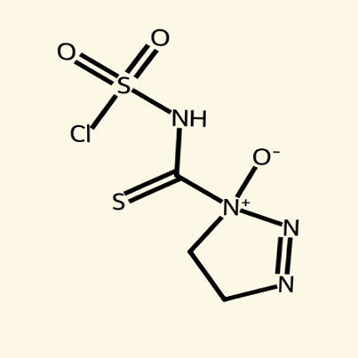 O=S(=O)(Cl)NC(=S)[N+]1([O-])CCN=N1